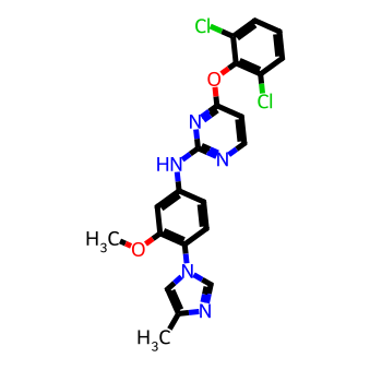 COc1cc(Nc2nccc(Oc3c(Cl)cccc3Cl)n2)ccc1-n1cnc(C)c1